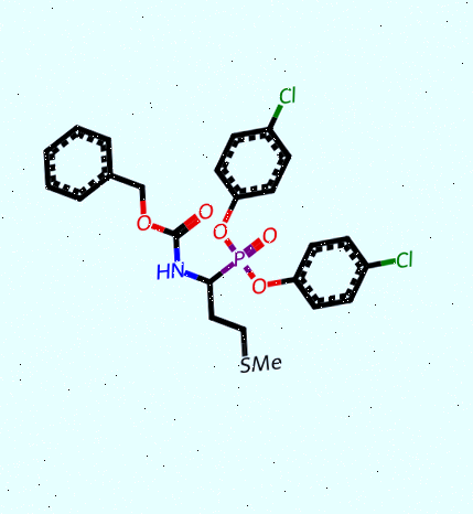 CSCCC(NC(=O)OCc1ccccc1)P(=O)(Oc1ccc(Cl)cc1)Oc1ccc(Cl)cc1